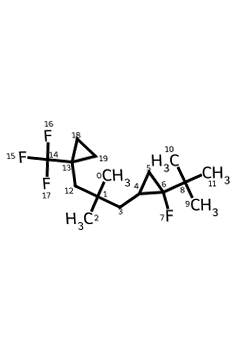 CC(C)(CC1CC1(F)C(C)(C)C)CC1(C(F)(F)F)CC1